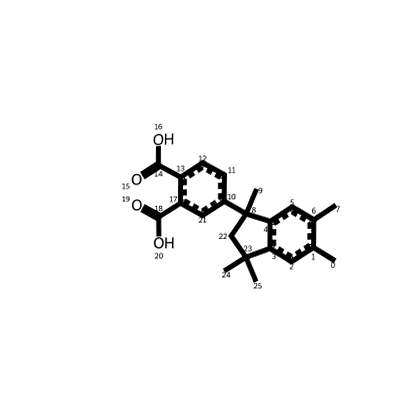 Cc1cc2c(cc1C)C(C)(c1ccc(C(=O)O)c(C(=O)O)c1)CC2(C)C